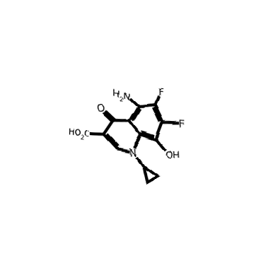 Nc1c(F)c(F)c(O)c2c1c(=O)c(C(=O)O)cn2C1CC1